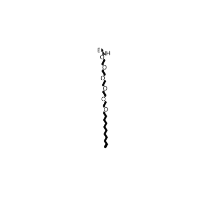 C=CCCCCCCCCCOCCOCCOCCOCCOCCONCC